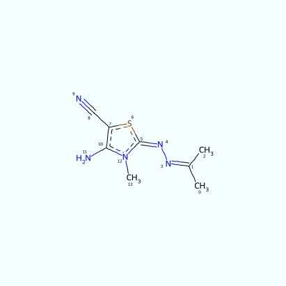 CC(C)=N/N=c1/sc(C#N)c(N)n1C